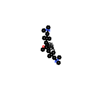 CC1(C)c2cc(-c3c4ccccc4c(-c4ccc(-c5nc6ccccc6n5-c5ccccc5)cc4)c4ccccc34)ccc2-c2c1c1c(c3c2oc2ccccc23)-c2ccc(-c3c4ccccc4c(-c4ccc(-c5nc6ccccc6n5-c5ccccc5)cc4)c4ccccc34)cc2C1(C)C